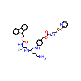 CC(C)[C@@H](CN[C@@H](CCCN)CNc1ccc(COC(=O)NCCSSc2ccccn2)cc1)NC(=O)OCC1c2ccccc2-c2ccccc21